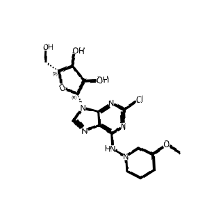 COC1CCCN(Nc2nc(Cl)nc3c2ncn3[C@@H]2O[C@H](CO)C(O)C2O)C1